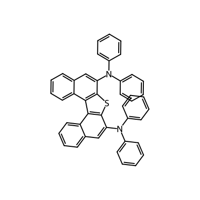 c1ccc(N(c2ccccc2)c2cc3ccccc3c3c2sc2c(N(c4ccccc4)c4ccccc4)cc4ccccc4c23)cc1